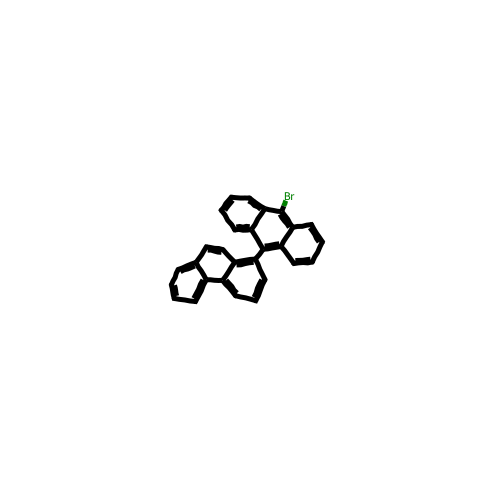 Brc1c2ccccc2c(-c2cccc3c2ccc2ccccc23)c2ccccc12